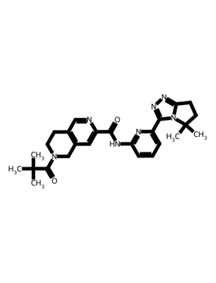 CC(C)(C)C(=O)N1CCc2cnc(C(=O)Nc3cccc(-c4nnc5n4C(C)(C)CC5)n3)cc2C1